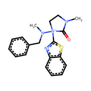 CN1CC[N+](c2nc3ccccc3s2)(N(C)Cc2ccccc2)C1=O